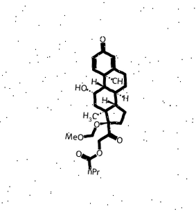 CCCC(=O)OCC(=O)[C@@]1(OCOC)CC[C@H]2[C@@H]3CCC4=CC(=O)C=C[C@]4(C)[C@H]3[C@@H](O)C[C@@]21C